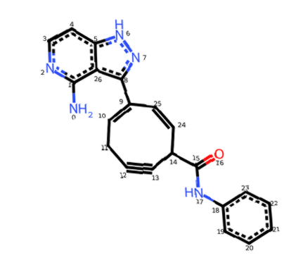 Nc1nccc2[nH]nc(C3=C/CC#CC(C(=O)Nc4ccccc4)/C=C\3)c12